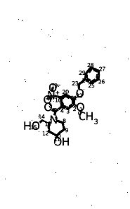 COc1cc(C(=O)N2CC[C@H](O)C[C@H]2CO)c([N+](=O)[O-])cc1OCc1ccccc1